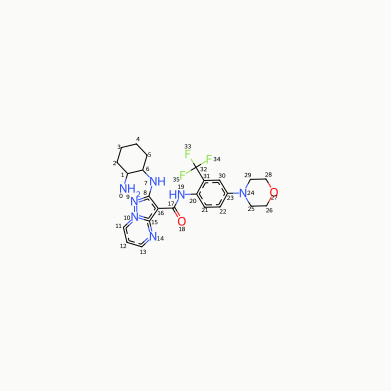 NC1CCCCC1Nc1nn2cccnc2c1C(=O)Nc1ccc(N2CCOCC2)cc1C(F)(F)F